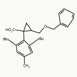 Cc1cc(C(C)(C)C)c(C2(C(=O)O)CC2COCc2ccccc2)c(C(C)(C)C)c1